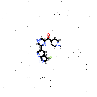 CN1CCC(C(=O)c2cncc(-c3cnc4[nH]cc(F)c4c3)n2)CC1